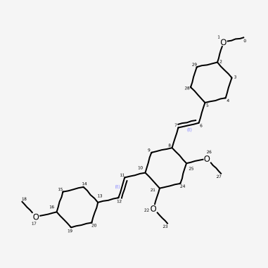 COC1CCC(/C=C/C2CC(/C=C/C3CCC(OC)CC3)C(OC)CC2OC)CC1